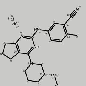 CN[C@@H]1CCCN(c2nc(Nc3ccc(C)c(C#N)c3)nc3c2CCC3)C1.Cl.Cl